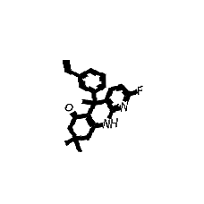 C=Cc1cccc(C2(C)C3=C(CC(C)(C)CC3=O)Nc3nc(F)ccc32)c1